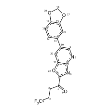 O=C(CCC(F)(F)F)c1nc2ncc(-c3ccc4c(c3)OCO4)cc2o1